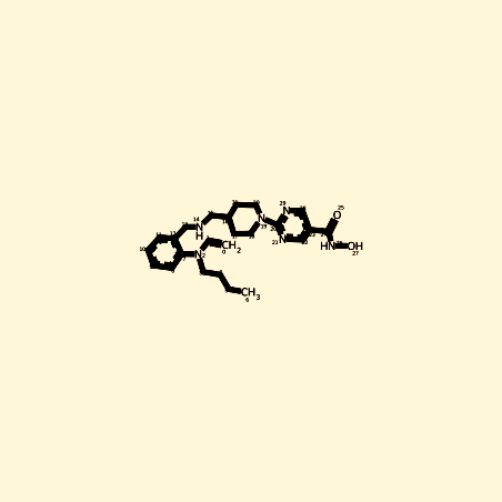 C=CN(CCCC)c1ccccc1CNCC1CCN(c2ncc(C(=O)NO)cn2)CC1